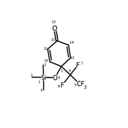 C[Si](C)(C)OC1(C(F)(F)C(F)(F)F)C=CC(=O)C=C1